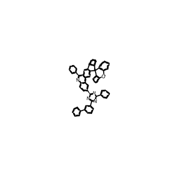 c1ccc(-c2cccc(-c3nc(-c4ccccc4)nc(-c4ccc5nc(-c6ccccc6)c6cc7c(cc6c5c4)C4(c5ccccc5Oc5ccccc54)c4ccccc4-7)n3)c2)cc1